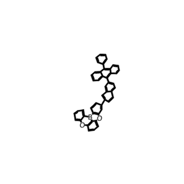 c1ccc(-c2c3ccccc3c(-c3ccc4ccc(-c5ccc6c(c5)Oc5cccc7c5B6c5ccccc5O7)cc4c3)c3ccccc23)cc1